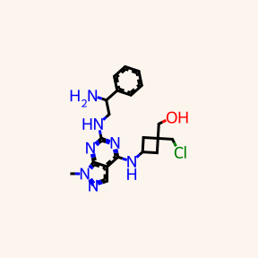 Cn1ncc2c(NC3CC(CO)(CCl)C3)nc(NCC(N)c3ccccc3)nc21